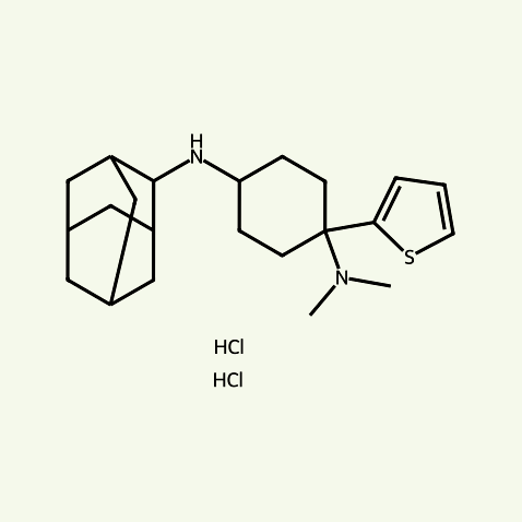 CN(C)C1(c2cccs2)CCC(NC2C3CC4CC(C3)CC2C4)CC1.Cl.Cl